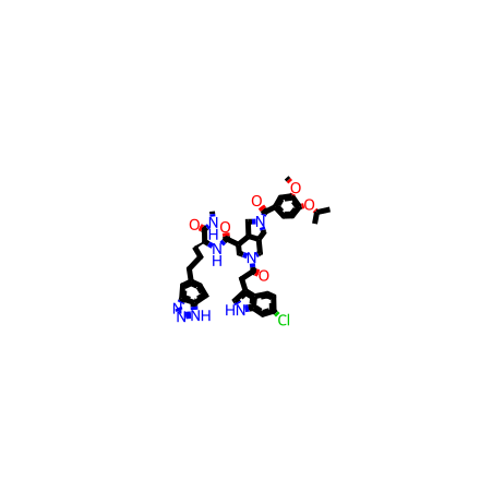 CNC(=O)[C@H](CCCc1ccc2[nH]nnc2c1)NC(=O)C1CN(C(=O)Cc2c[nH]c3cc(Cl)ccc23)CC2CN(C(=O)c3ccc(OC(C)C)c(OC)c3)CC21